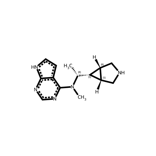 C[C@H]([C@@H]1[C@@H]2CNC[C@@H]21)N(C)c1ncnc2[nH]ccc12